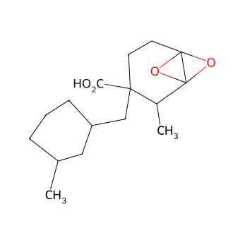 CC1CCCC(CC2(C(=O)O)CCC34OC3(O4)C2C)C1